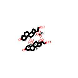 CCCC(=O)O[C@]1(C(=O)CO)CCC2C3CCC4=CC(=O)CC[C@]4(C)C3[C@@H](O)C[C@@]21C.C[C@]12CCC(=O)C=C1CC[C@@H]1[C@@H]2[C@@H](O)C[C@@]2(C)[C@H]1CC[C@]2(O)C(=O)CO